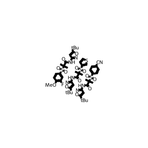 CC(C)(C)c1cc(NC(=O)C(C)(C)S(=O)(=O)c2ccc(C#N)cc2)no1.CC(C)(C)c1cc(NC(=O)C(C)(C)S(=O)(=O)c2ccsc2)no1.COc1ccc(S(=O)(=O)C(C)(C)C(=O)Nc2cc(C(C)(C)C)on2)cc1F